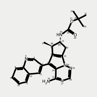 C[C@@H]1c2c(-c3cnc4ccccc4c3)c3c(N)ncnn3c2C[C@H]1NC(=O)OC(C)(C)C